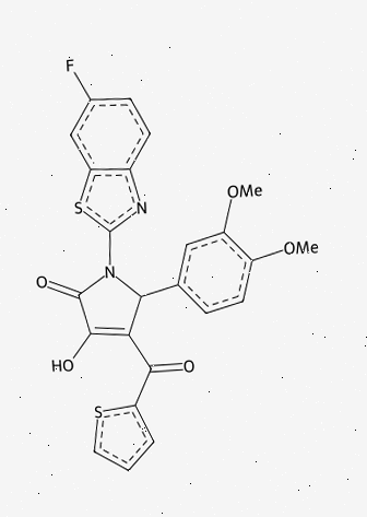 COc1ccc(C2C(C(=O)c3cccs3)=C(O)C(=O)N2c2nc3ccc(F)cc3s2)cc1OC